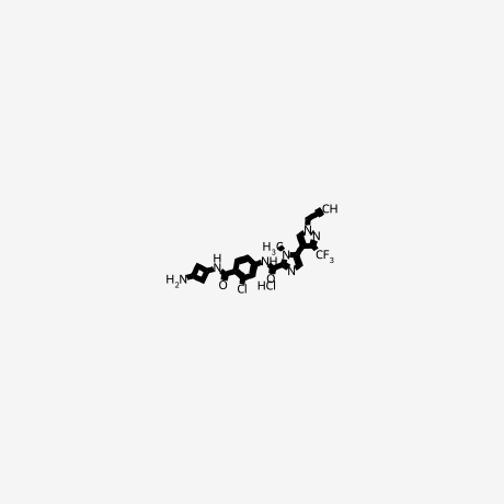 C#CCn1cc(-c2cnc(C(=O)Nc3ccc(C(=O)NC4CC(N)C4)c(Cl)c3)n2C)c(C(F)(F)F)n1.Cl